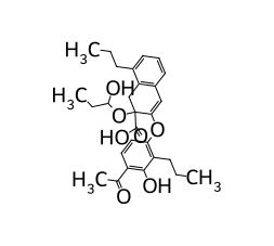 CCCc1cccc2c1CC(OC(O)CC)(C(=O)O)C(Oc1ccc(C(C)=O)c(O)c1CCC)=C2